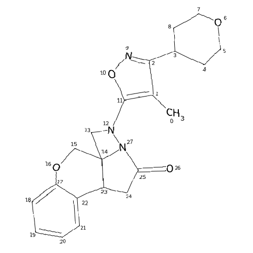 Cc1c(C2CCOCC2)noc1N1CC23COc4ccccc4C2CC(=O)N13